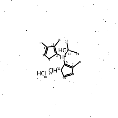 CC1=CC[C]([Hf]([C]2=C(C)C=CC2)[GeH]([CH3])[CH3])=C1C.Cl.Cl